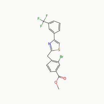 COC(=O)c1ccc(Cc2nc(-c3cccc(C(F)(F)F)c3)cs2)c(Br)c1